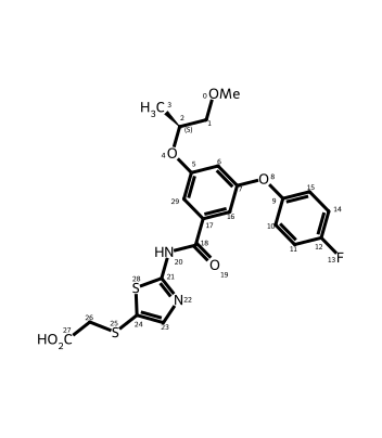 COC[C@H](C)Oc1cc(Oc2ccc(F)cc2)cc(C(=O)Nc2ncc(SCC(=O)O)s2)c1